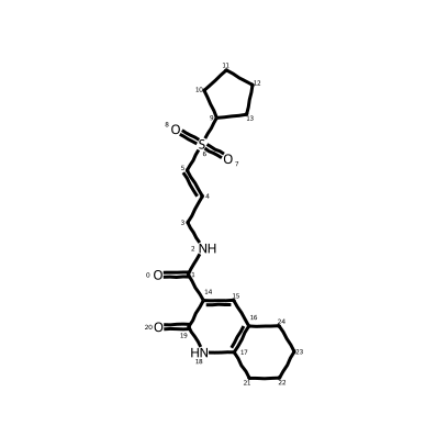 O=C(NC/C=C/S(=O)(=O)C1CCCC1)c1cc2c([nH]c1=O)CCCC2